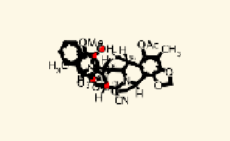 COc1c(C)cc2c(c1O)[C@@H]1C3[C@@H]4SC[C@H](N5C(=O)c6ccccc6C5=O)C(=O)OC[C@@H](c5c6c(c(C)c(OC(C)=O)c54)OCO6)N3[C@@H](C#N)[C@H](C2)N1C